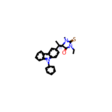 CCN1C(=O)/C(=C(/C)c2ccc3c(c2)c2ccccc2n3-c2ccccc2)N(C)C1=S